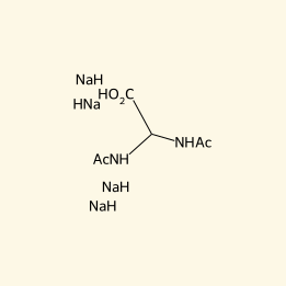 CC(=O)NC(NC(C)=O)C(=O)O.[NaH].[NaH].[NaH].[NaH]